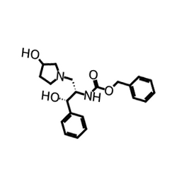 O=C(N[C@@H](CN1CCC(O)C1)[C@@H](O)c1ccccc1)OCc1ccccc1